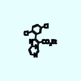 CCOC(=O)c1c(-c2cc(Cl)ccc2Cl)nc2ccncn12